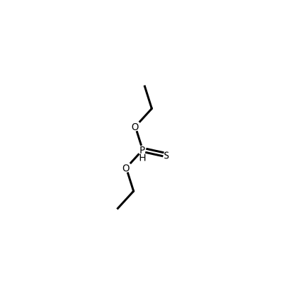 CCO[PH](=S)OCC